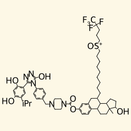 CC(C)c1cc(-c2nnc(O)n2-c2ccc(CN3CCN(C(=O)Oc4ccc5c(c4)CC(CCCCCCCCC[S+]([O-])CCCC(F)(F)C(F)(F)F)C4C5CCC5(C)C(O)CCC45)CC3)cc2)c(O)cc1O